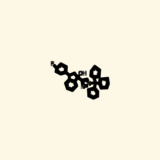 OC1(c2cn(C(c3ccccc3)(c3ccccc3)c3ccccc3)cn2)CC(c2ccc(F)cc2)c2ccccc21